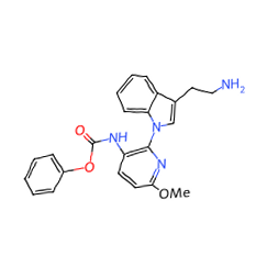 COc1ccc(NC(=O)Oc2ccccc2)c(-n2cc(CCN)c3ccccc32)n1